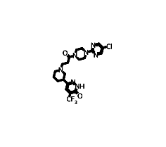 O=C(CCN1CCCC(c2cc(C(F)(F)F)c(=O)[nH]n2)C1)N1CCN(c2ncc(Cl)cn2)CC1